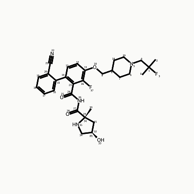 CC(C)(F)CN1CCC(COc2ccc(-c3ccccc3C#N)c(C(=O)NC(=O)[C@]3(C)C[C@@H](O)CN3)c2F)CC1